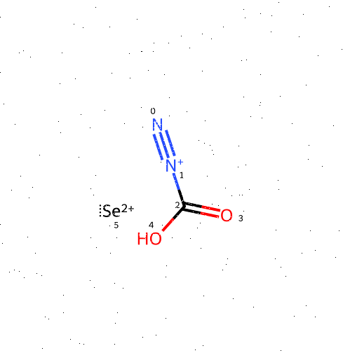 N#[N+]C(=O)O.[Se+2]